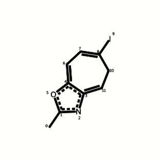 Cc1nc2c(o1)=CC=C(I)CC=2